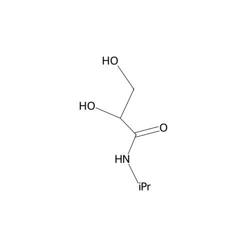 CC(C)NC(=O)C(O)CO